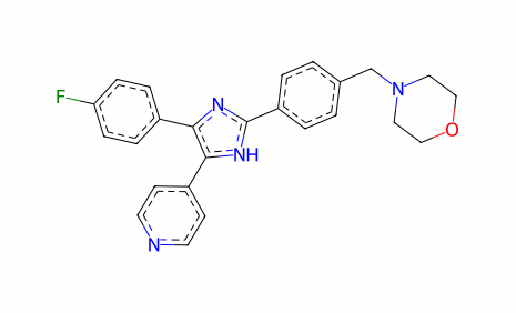 Fc1ccc(-c2nc(-c3ccc(CN4CCOCC4)cc3)[nH]c2-c2ccncc2)cc1